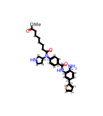 COC(=O)CCCCCCC(=O)N(c1ccc(C(=O)Nc2cc(-c3cccs3)ccc2N)cc1)C1CCNC1